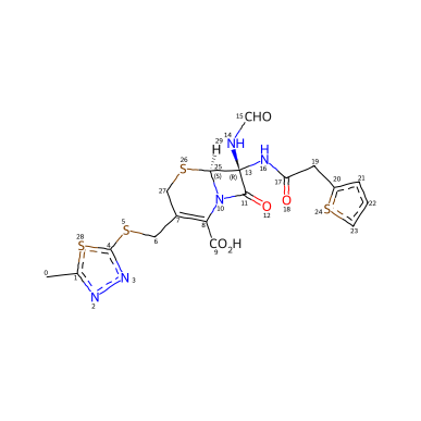 Cc1nnc(SCC2=C(C(=O)O)N3C(=O)[C@@](NC=O)(NC(=O)Cc4cccs4)[C@@H]3SC2)s1